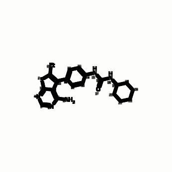 CCc1sc2ncnc(N)c2c1-c1ccc(NC(=O)NC2CCCCC2)cc1